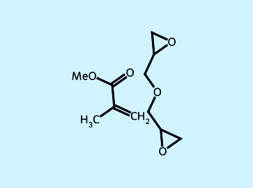 C(OCC1CO1)C1CO1.C=C(C)C(=O)OC